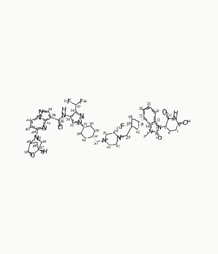 Cn1c(=O)n(C2CCC(=O)NC2=O)c2cccc([C@H]3C[C@](F)(CN4CCN(C[C@H]5CC[C@H](n6cc(NC(=O)c7cnn8ccc(N9C[C@H]%10CC9CO%10)nc78)c(C(F)F)n6)CC5)CC4)C3)c21